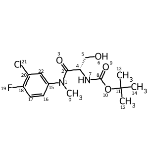 CN(C(=O)[C@H](CO)NC(=O)OC(C)(C)C)c1ccc(F)c(Cl)c1